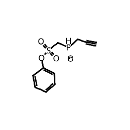 C#CC[PH](=O)CS(=O)(=O)Oc1ccccc1